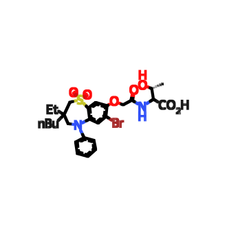 CCCCC1(CC)CN(c2ccccc2)c2cc(Br)c(OCC(=O)NC(C(=O)O)[C@@H](C)O)cc2S(=O)(=O)C1